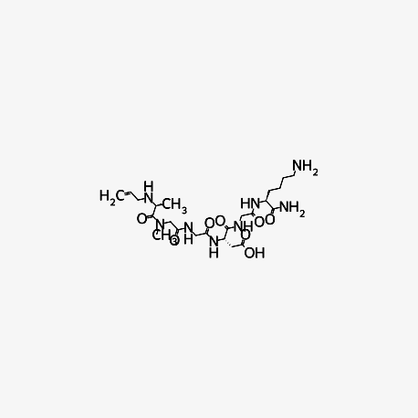 C=CCN[C@@H](C)C(=O)N(C)CC(=O)NCC(=O)N[C@@H](CC(=O)O)C(=O)NCC(=O)N[C@@H](CCCCN)C(N)=O